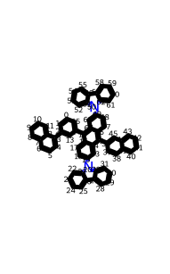 c1cc(-c2cccc3ccccc23)cc(-c2c3ccc(-n4c5ccccc5c5ccccc54)cc3c(-c3ccc4ccccc4c3)c3ccc(-n4c5ccccc5c5ccccc54)cc23)c1